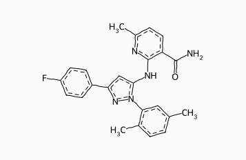 Cc1ccc(C)c(-n2nc(-c3ccc(F)cc3)cc2Nc2nc(C)ccc2C(N)=O)c1